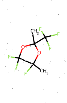 CC1(F)OC(C)(C(F)(F)F)OC1(F)F